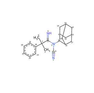 CC(C)(C(=N)N(C#N)C1C2CC3CC(C2)CC1C3)c1ccccc1